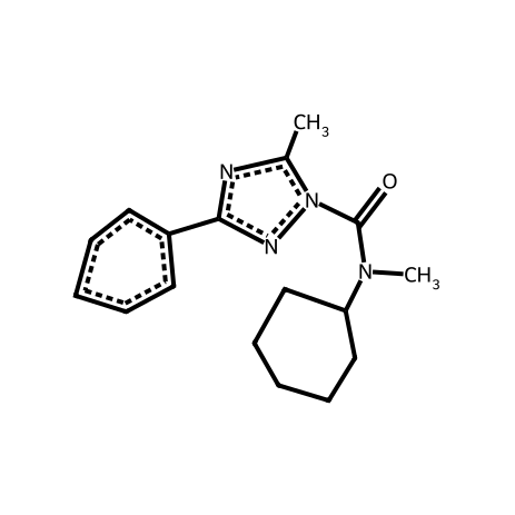 Cc1nc(-c2ccccc2)nn1C(=O)N(C)C1CCCCC1